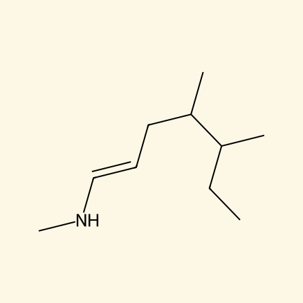 CCC(C)C(C)C/C=C/NC